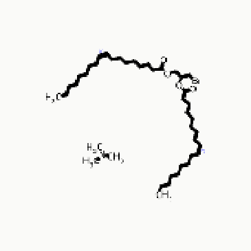 CCCCCCCC/C=C\CCCCCCCC(=O)OCC(CBr)OC(=O)CCCCCCC/C=C\CCCCCCCC.CN(C)C